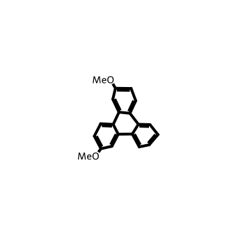 COc1ccc2c(c1)c1ccccc1c1ccc(OC)cc12